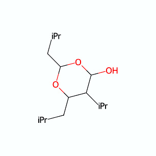 CC(C)CC1OC(O)C(C(C)C)C(CC(C)C)O1